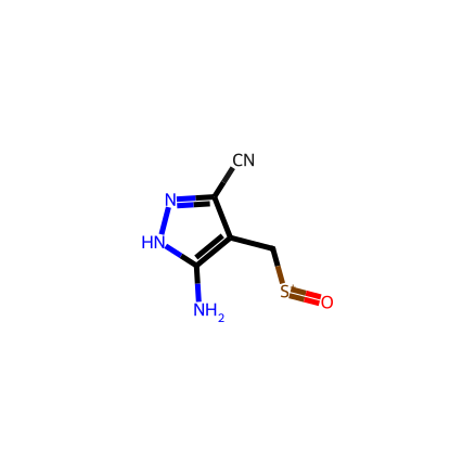 N#Cc1n[nH]c(N)c1C[S+]=O